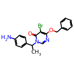 CC(c1ccc(N)cc1)n1cnc(OCc2ccccc2)c(Br)c1=O